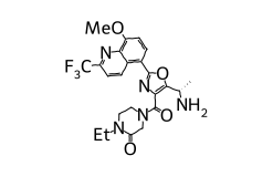 CCN1CCN(C(=O)c2nc(-c3ccc(OC)c4nc(C(F)(F)F)ccc34)oc2[C@H](C)N)CC1=O